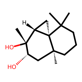 CC1(C)CCC[C@@]2(C)C[C@H](O)[C@](C)(O)[C@@H]3C[C@]312